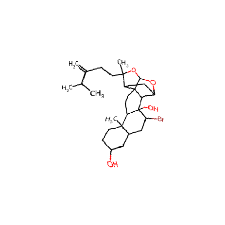 C=C(CCC1(C)OC2OC3CC1C21CCC2C4(C)CCC(O)CC4CC(Br)C2(O)C31)C(C)C